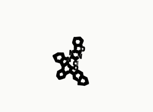 Clc1nc2oc3ccccc3c2nc1-n1c2ccccc2c2c3ccccc3c3c4cc5ccccc5cc4oc3c21